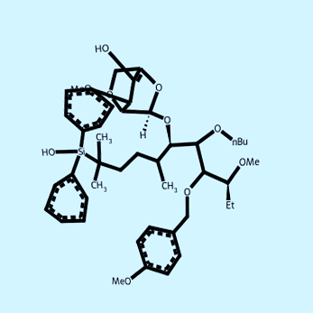 CCCCOC(C(OCc1ccc(OC)cc1)[C@H](CC)OC)[C@H](O[C@@H]1OC2=C(O)C(OC)C1OC2)C(C)CCC(C)(C)[Si](O)(c1ccccc1)c1ccccc1